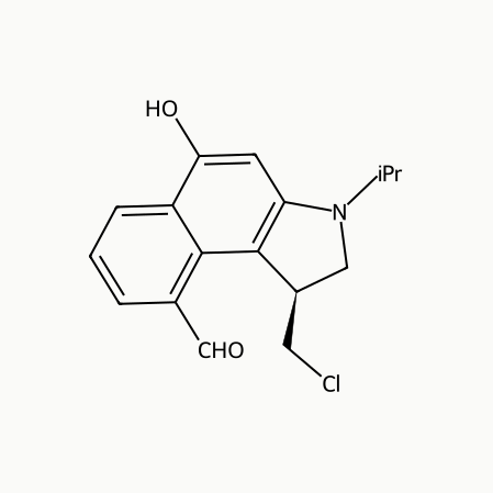 CC(C)N1C[C@@H](CCl)c2c1cc(O)c1cccc(C=O)c21